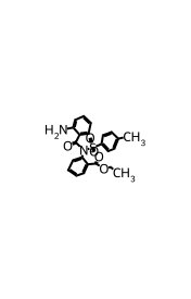 CCOC(=O)c1ccccc1N(C(=O)c1ccccc1N)S(=O)(=O)c1ccc(C)cc1